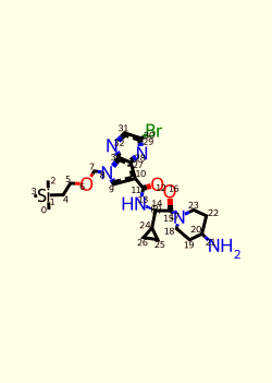 C[Si](C)(C)CCOCn1cc(C(=O)N[C@@H](C(=O)N2CCC(N)CC2)C2CC2)c2nc(Br)cnc21